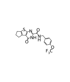 O=C(NCc1ccc(OC(F)(F)F)cc1)c1nc2sc3c(c2c(=O)[nH]1)CCC3